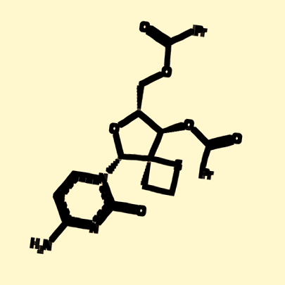 CC(C)C(=O)OC[C@H]1O[C@@H](n2ccc(N)nc2=O)[C@@]2(CCS2)[C@@H]1OC(=O)C(C)C